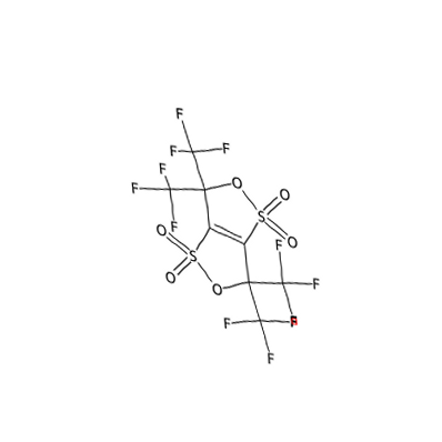 O=S1(=O)OC(C(F)(F)F)(C(F)(F)F)C2=C1C(C(F)(F)F)(C(F)(F)F)OS2(=O)=O